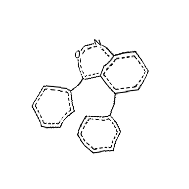 c1ccc(-c2cccc3noc(-c4ccccc4)c23)cc1